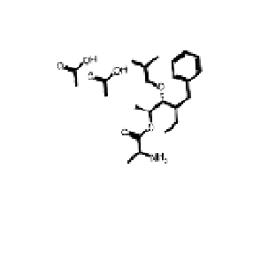 CC(=O)O.CC(=O)O.CC[C@H](Cc1ccccc1)[C@@H](OCC(C)C)[C@H](C)OC(=O)C(C)N